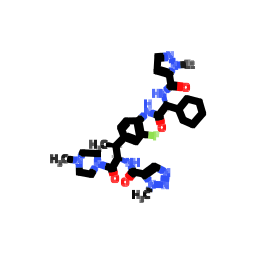 CCn1nccc1C(=O)N[C@H](C(=O)Nc1ccc([C@H](C)[C@@H](NC(=O)c2cnnn2C)C(=O)N2CCN(C)CC2)cc1F)C1CCCCC1